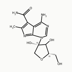 Cc1nc2n([C@]3(O)CO[C@@H](CO)C3O)cnc(N)c-2c1C(N)=O